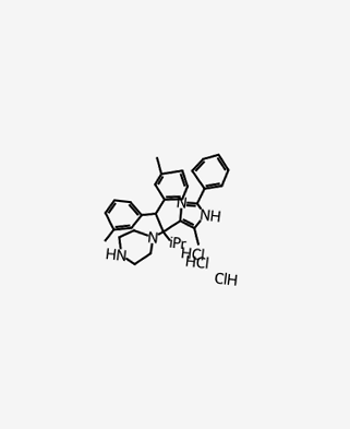 Cc1cccc(C(c2cccc(C)c2)C(c2nc(-c3ccccc3)[nH]c2C)(C(C)C)N2CCNCC2)c1.Cl.Cl.Cl